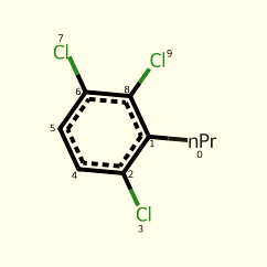 C[CH]Cc1c(Cl)ccc(Cl)c1Cl